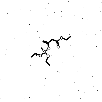 C=C(CC(=O)OCC)O[Si](C)(OCC)OCC